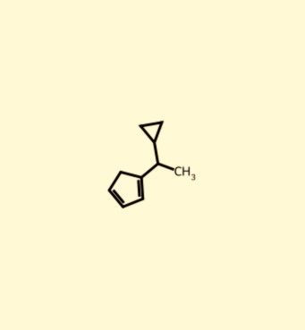 CC(C1=CC=CC1)C1CC1